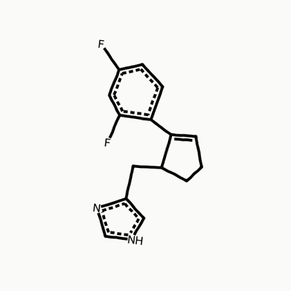 Fc1ccc(C2=CCCC2Cc2c[nH]cn2)c(F)c1